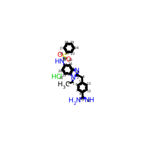 CCn1c(Cc2ccc(C(=N)N)cc2)nc2cc(NS(=O)(=O)c3ccccc3)ccc21.Cl